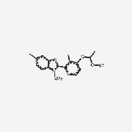 CCOC(C)Oc1ccnc(-c2nc3cc(C)ccc3n2SC)c1C